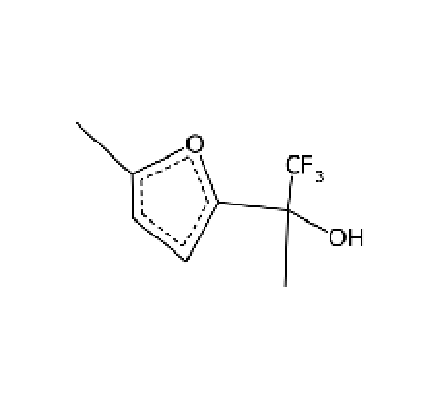 Cc1ccc(C(C)(O)C(F)(F)F)o1